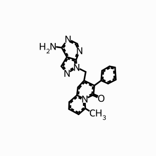 Cc1cccc2cc(Cn3ncc4c(N)ncnc43)c(-c3ccccc3)c(=O)n12